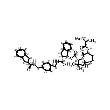 CN[C@@H](C)C(=O)N[C@H]1CCS[C@H]2CC(C)(C)[C@@H](C(=O)N[C@H]3c4ccccc4C[C@H]3C(=O)NCc3ccc(CNC(=O)C4Cc5ccccc5C4)cc3)N2C1=O